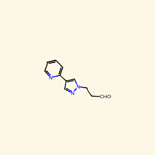 O=CCCn1cc(-c2ccccn2)cn1